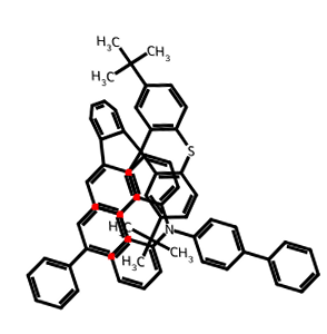 CC(C)(C)c1ccc2c(c1)C1(c3cc(C(C)(C)C)ccc3S2)c2ccccc2-c2ccc(-c3ccccc3N(c3ccc(-c4ccccc4)cc3)c3ccccc3-c3ccc(-c4ccccc4)cc3)cc21